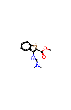 COC(=O)c1sc2ccccc2c1/N=C/N(C)C